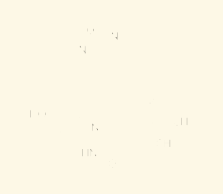 CC1(C)C=C(N2C=C(O)C=C[NH+]2[O-])c2cc3nonc3cc2O1